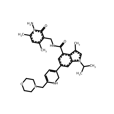 Cc1cc(C)n(N)c(=O)c1CNC(=O)c1cc(C2=CC=C(CN3CCOCC3)NC2)cc2c1c(C)cn2C(C)C